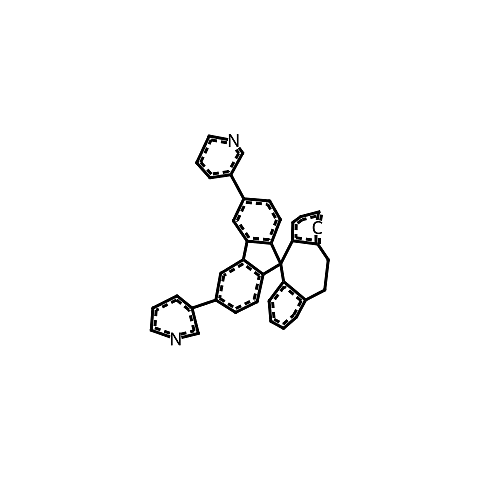 c1cncc(-c2ccc3c(c2)-c2cc(-c4cccnc4)ccc2C32c3ccccc3CCc3ccccc32)c1